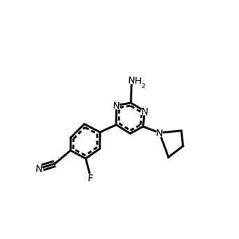 N#Cc1ccc(-c2cc(N3CCC3)nc(N)n2)cc1F